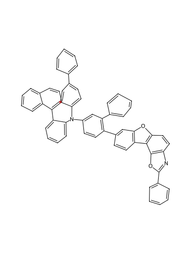 c1ccc(-c2ccc(N(c3ccc(-c4ccc5c(c4)oc4ccc6nc(-c7ccccc7)oc6c45)c(-c4ccccc4)c3)c3ccccc3-c3cccc4ccccc34)cc2)cc1